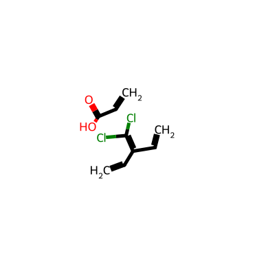 C=CC(=O)O.C=CC(C=C)=C(Cl)Cl